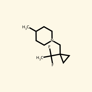 CC1CCN(CC2(C(C)(F)F)CC2)CC1